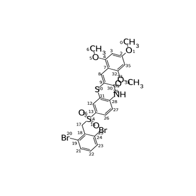 COc1cc(OC)c(/C=C2/Sc3cc(S(=O)(=O)Cc4c(Br)cccc4Br)ccc3NC2=O)c(OC)c1